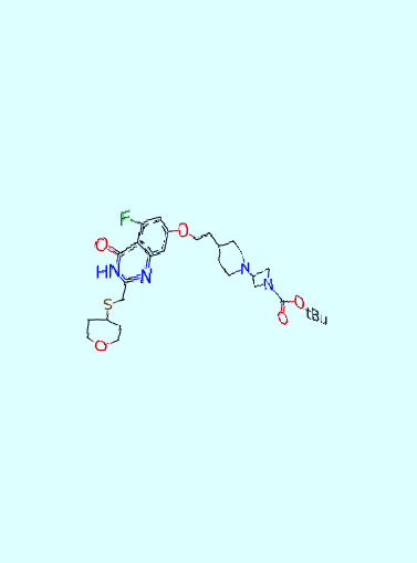 CC(C)(C)OC(=O)N1CC(N2CCC(CCOc3cc(F)c4c(=O)[nH]c(CSC5CCOCC5)nc4c3)CC2)C1